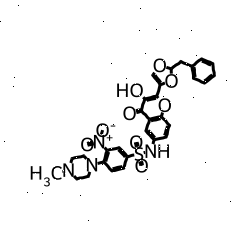 CN1CCN(c2ccc(S(=O)(=O)Nc3ccc4oc(C5=COC(Cc6ccccc6)O5)c(O)c(=O)c4c3)cc2[N+](=O)[O-])CC1